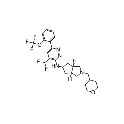 FC(F)c1cc(-c2ccccc2OC(F)(F)F)nnc1N[C@H]1C[C@@H]2CN(CC3CCOCC3)C[C@@H]2C1